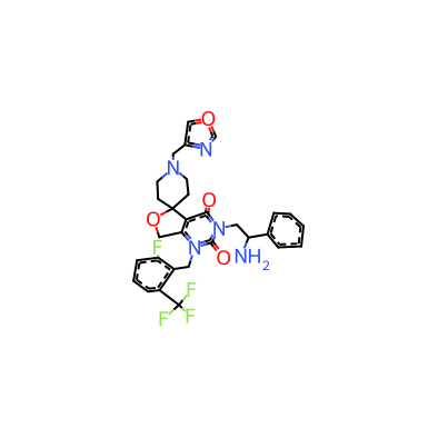 NC(Cn1c(=O)c2c(n(Cc3c(F)cccc3C(F)(F)F)c1=O)COC21CCN(Cc2cocn2)CC1)c1ccccc1